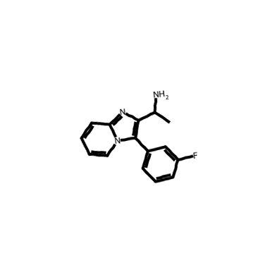 CC(N)c1nc2ccccn2c1-c1cccc(F)c1